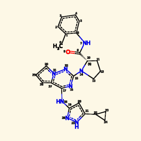 Cc1ccccc1NC(=O)[C@@H]1CCCN1c1nc(Nc2cc(C3CC3)[nH]n2)c2cccn2n1